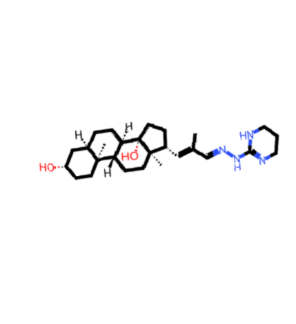 CC(/C=N/NC1=NCCCN1)=C\[C@H]1CC[C@]2(O)[C@@H]3CC[C@@H]4C[C@@H](O)CC[C@]4(C)[C@H]3CC[C@]12C